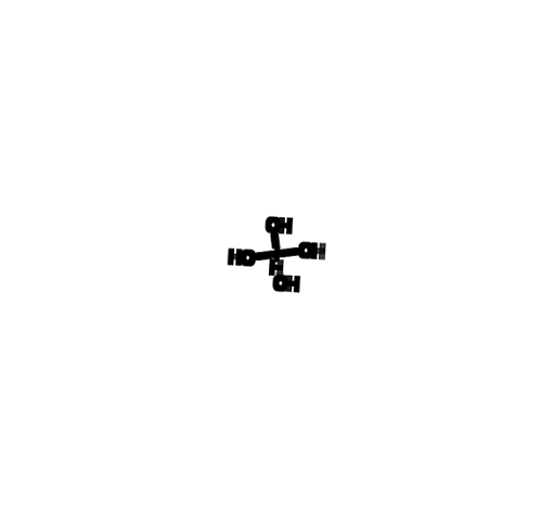 O[IH](O)(O)O